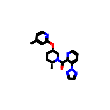 Cc1ccnc(O[C@@H]2CC[C@@H](C)N(C(=O)c3ncccc3-n3nccn3)C2)c1